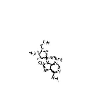 CCCCC[C@@]1(n2cnc3c(N)ncnc32)O[C@H](CO)[C@@H](O)[C@H]1S